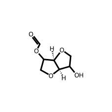 O=COC1CO[C@@H]2C(O)CO[C@H]12